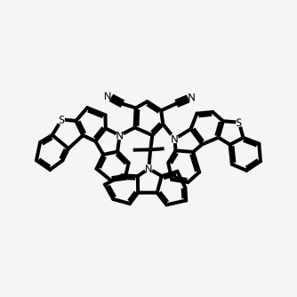 CC(C)(c1c(-n2c3ccccc3c3c4c(ccc32)sc2ccccc24)c(C#N)cc(C#N)c1-n1c2ccccc2c2c3c(ccc21)sc1ccccc13)n1c2ccccc2c2ccccc21